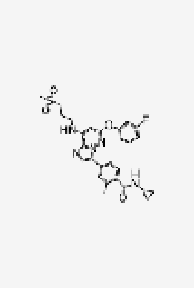 Cc1cc(-c2cnc3c(NCCCS(C)(=O)=O)cc(Oc4cccc(F)c4)nn23)ccc1C(=O)NC1CC1